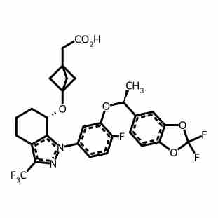 C[C@H](Oc1cc(-n2nc(C(F)(F)F)c3c2[C@@H](OC24CC(CC(=O)O)(C2)C4)CCC3)ccc1F)c1ccc2c(c1)OC(F)(F)O2